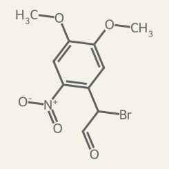 COc1cc(C(Br)C=O)c([N+](=O)[O-])cc1OC